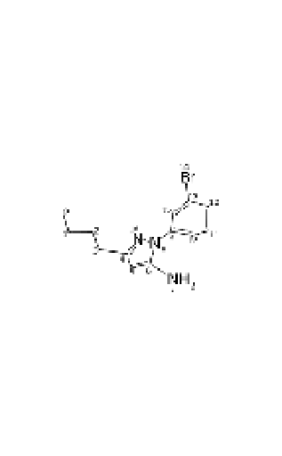 CCCCc1cc(N)n(-c2cccc(Br)c2)n1